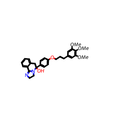 COc1cc(CCCOc2ccc(C3(O)Cc4ccccc4C4=NCCN43)cc2)cc(OC)c1OC